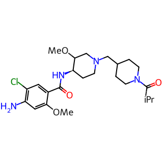 COc1cc(N)c(Cl)cc1C(=O)N[C@@H]1CCN(CC2CCN(C(=O)C(C)C)CC2)CC1OC